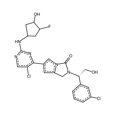 O=C1N([C@H](CO)c2cccc(Cl)c2)Cc2cc(-c3nc(NC4CC(O)C(F)C4)ncc3Cl)cn21